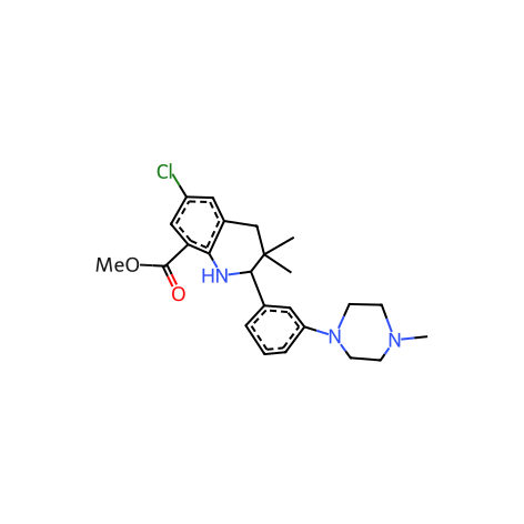 COC(=O)c1cc(Cl)cc2c1NC(c1cccc(N3CCN(C)CC3)c1)C(C)(C)C2